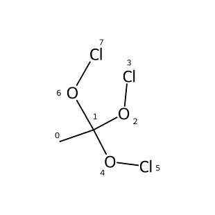 CC(OCl)(OCl)OCl